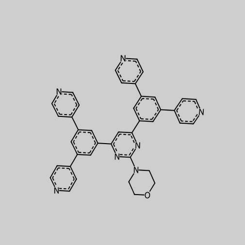 c1cc(-c2cc(-c3ccncc3)cc(-c3cc(-c4cc(-c5ccncc5)cc(-c5ccncc5)c4)nc(N4CCOCC4)n3)c2)ccn1